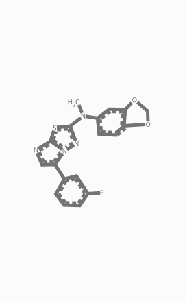 CN(c1ccc2c(c1)OCO2)c1nn2c(-c3cccc(F)c3)cnc2s1